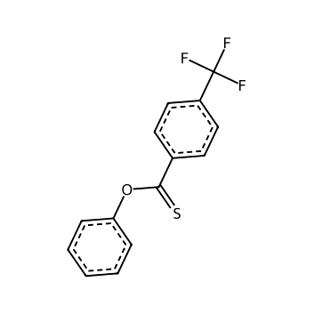 FC(F)(F)c1ccc(C(=S)Oc2ccccc2)cc1